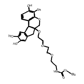 CC(C)(C)OC(=O)NCCOCCOCCOC12COc3c(ccc(O)c3O)C1c1cc(O)c(O)cc1C2